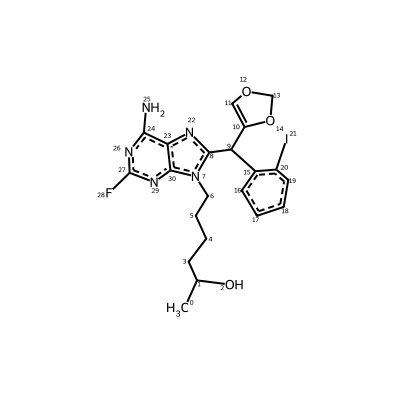 CC(O)CCCCn1c(C(C2=COCO2)c2ccccc2I)nc2c(N)nc(F)nc21